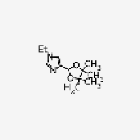 CCn1cnc(C2OC(C)(C)C(C)(C)O2)c1